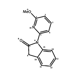 COc1cccc(N2C(=O)Cc3ccccc32)n1